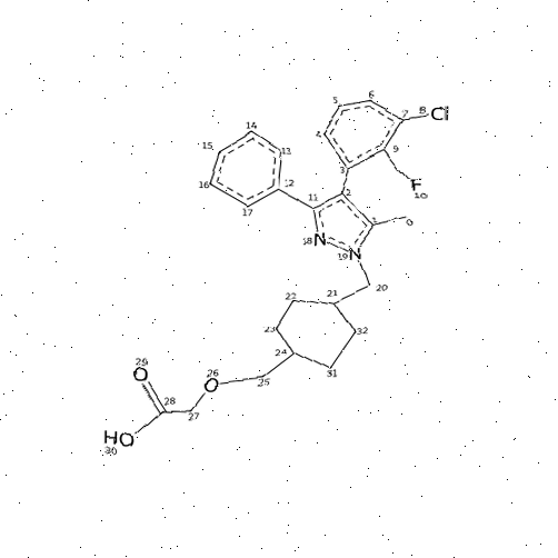 Cc1c(-c2cccc(Cl)c2F)c(-c2ccccc2)nn1CC1CCC(COCC(=O)O)CC1